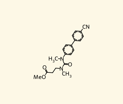 COC(=O)CCN(C)C(=O)N(C)c1ccc(-c2ccc(C#N)cc2)cc1